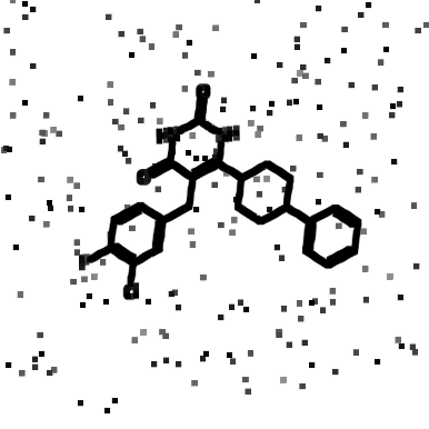 O=c1[nH]c(C2CCC(c3ccccc3)CC2)c(Cc2ccc(F)c(Cl)c2)c(=O)[nH]1